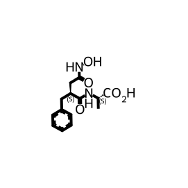 C[C@H](NC(=O)[C@H](CC(=O)NO)Cc1ccccc1)C(=O)O